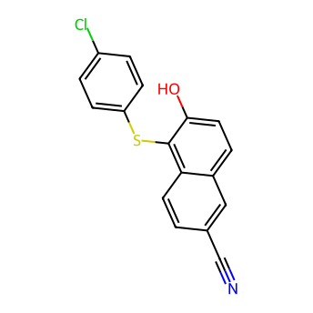 N#Cc1ccc2c(Sc3ccc(Cl)cc3)c(O)ccc2c1